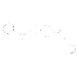 O=C(OCc1ccco1)N1CCC(F)(CNC2CC2c2ccccc2)CC1